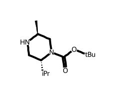 CC(C)[C@@H]1CN[C@@H](C)CN1C(=O)OC(C)(C)C